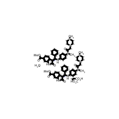 COC(=O)c1ccc2c(c1)NC(=O)/C2=C(\Nc1ccc(N(C)C(=O)CN2CCN(C)CC2)cc1)c1ccccc1.COC(=O)c1ccc2c(c1)NC(=O)/C2=C(\Nc1ccc(N(C)C(=O)CN2CCN(C)CC2)cc1)c1ccccc1.O.O=C(O)CC(=O)O